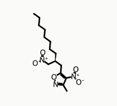 CCCCCCCC[C@@H](Cc1onc(C)c1[N+](=O)[O-])C[N+](=O)[O-]